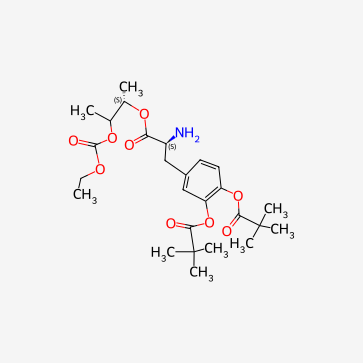 CCOC(=O)OC(C)[C@H](C)OC(=O)[C@@H](N)Cc1ccc(OC(=O)C(C)(C)C)c(OC(=O)C(C)(C)C)c1